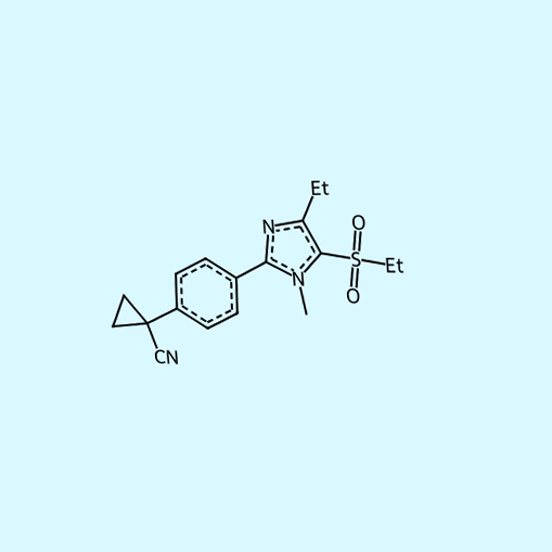 CCc1nc(-c2ccc(C3(C#N)CC3)cc2)n(C)c1S(=O)(=O)CC